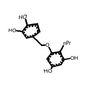 CCCc1c(O)cc(O)cc1OCc1ccc(O)c(O)c1